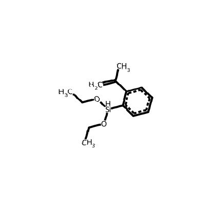 C=C(C)c1ccccc1[SiH](OCC)OCC